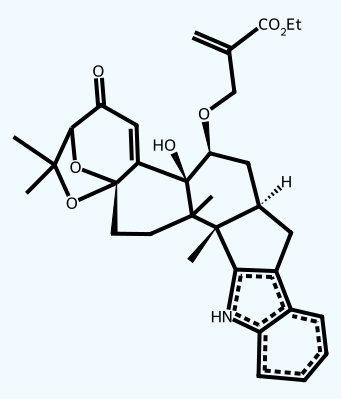 C=C(CO[C@H]1C[C@H]2Cc3c([nH]c4ccccc34)[C@]2(C)C2(C)CC[C@@]34OC(C(=O)C=C3[C@]12O)C(C)(C)O4)C(=O)OCC